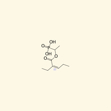 CC/C=C(/CC)C(=O)OC(C)P(=O)(O)O